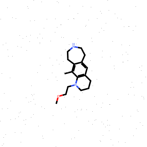 COCCN1CCCc2cc3c(c(C)c21)CCNCC3